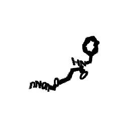 CCCCCCCCCCOCCC(=O)NCc1ccccc1